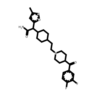 Cc1cc(C(C(N)=O)C2CCC(CCN3CCC(C(=O)c4ccc(F)c(F)c4)CC3)CC2)on1